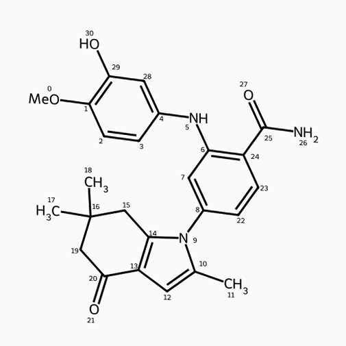 COc1ccc(Nc2cc(-n3c(C)cc4c3CC(C)(C)CC4=O)ccc2C(N)=O)cc1O